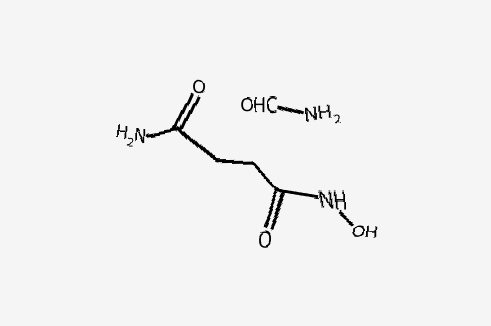 NC(=O)CCC(=O)NO.NC=O